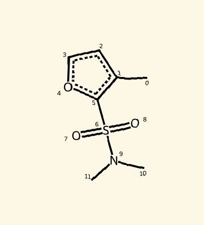 Cc1ccoc1S(=O)(=O)N(C)C